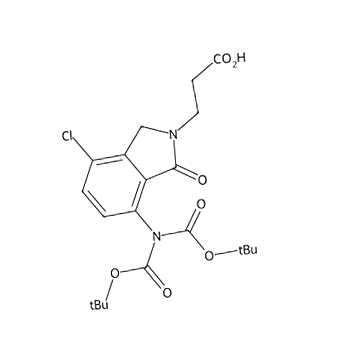 CC(C)(C)OC(=O)N(C(=O)OC(C)(C)C)c1ccc(Cl)c2c1C(=O)N(CCC(=O)O)C2